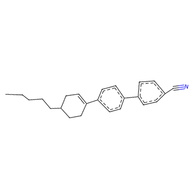 CCCCCC1CC=C(c2ccc(-c3ccc(C#N)cc3)cc2)CC1